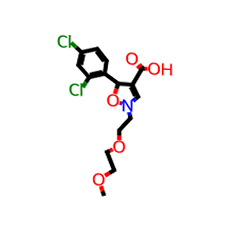 COCCOCCN1C=C(C(=O)O)C(c2ccc(Cl)cc2Cl)O1